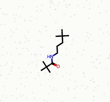 CC(C)(C)CCCNC(=O)C(C)(C)C